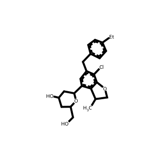 CCc1ccc(Cc2cc(C3CC(O)CC(CO)O3)c3c(c2Cl)OCC3C)cc1